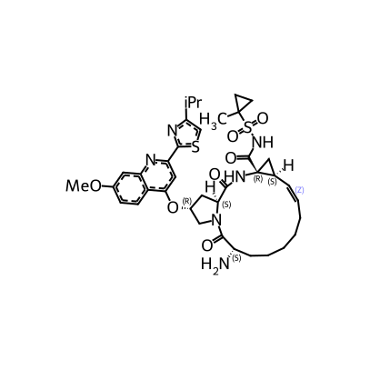 COc1ccc2c(O[C@@H]3C[C@H]4C(=O)N[C@]5(C(=O)NS(=O)(=O)C6(C)CC6)C[C@H]5/C=C\CCCCC[C@H](N)C(=O)N4C3)cc(-c3nc(C(C)C)cs3)nc2c1